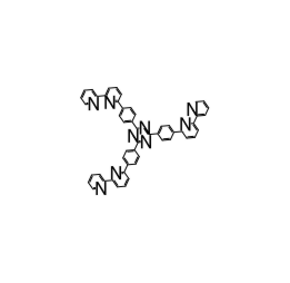 c1ccc(-c2cccc(-c3ccc(-c4nc(-c5ccc(-c6cccc(-c7ccccn7)n6)cc5)nc(-c5ccc(-c6cccc(-c7ccccn7)n6)cc5)n4)cc3)n2)nc1